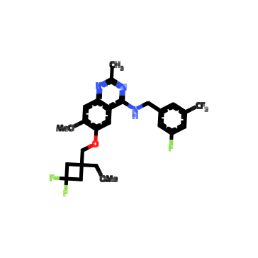 COCC1(COc2cc3c(NCc4cc(F)cc(C(F)(F)F)c4)nc(C)nc3cc2OC)CC(F)(F)C1